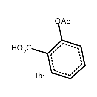 CC(=O)Oc1ccccc1C(=O)O.[Tb]